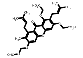 CC(C)=CCc1c(OCC(=O)O)cc2oc3cc(OCOC=O)c(C)c(CC=C(C)C)c3c(=O)c2c1OCC(=O)O